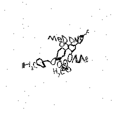 COC(=O)c1c(OC)c(-c2ccc(F)cc2)cc(OC)c1-c1ccc(OCc2ccc(C)cc2)c(OS(C)(=O)=O)c1